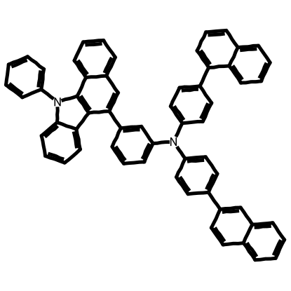 c1ccc(-n2c3ccccc3c3c(-c4cccc(N(c5ccc(-c6ccc7ccccc7c6)cc5)c5ccc(-c6cccc7ccccc67)cc5)c4)cc4ccccc4c32)cc1